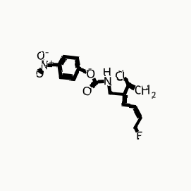 C=C(Cl)/C(=C\C=C/CF)CNC(=O)Oc1ccc([N+](=O)[O-])cc1